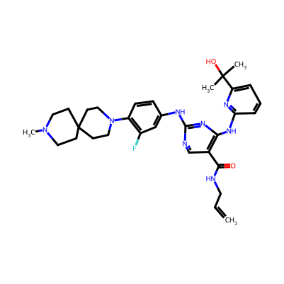 C=CCNC(=O)c1cnc(Nc2ccc(N3CCC4(CCN(C)CC4)CC3)c(F)c2)nc1Nc1cccc(C(C)(C)O)n1